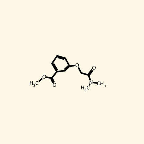 COC(=O)c1cccc(OCC(=O)N(C)C)c1